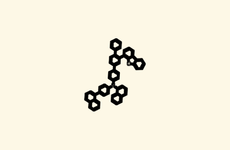 c1ccc(-c2ccc(-c3ccc(N(c4ccc(-c5cccc6ccccc56)cc4)c4cccc5ccccc45)cc3)cc2-c2cccc3c2oc2ccccc23)cc1